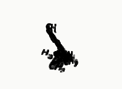 C#CCOCCOCCOCCOCCC[C@@H](CCNC(=O)OC(C)(C)C)C(=O)N[C@H](C(=O)OC)[C@H](O)CCCCCC